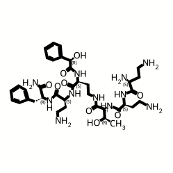 C[C@@H](O)[C@H](NC(=O)[C@H](CCN)NC(=O)[C@@H](N)CCN)C(=O)NCC[C@H](NC(=O)[C@H](O)c1ccccc1)C(=O)N[C@@H](CCN)C(=O)N[C@H](Cc1ccccc1)C(N)=O